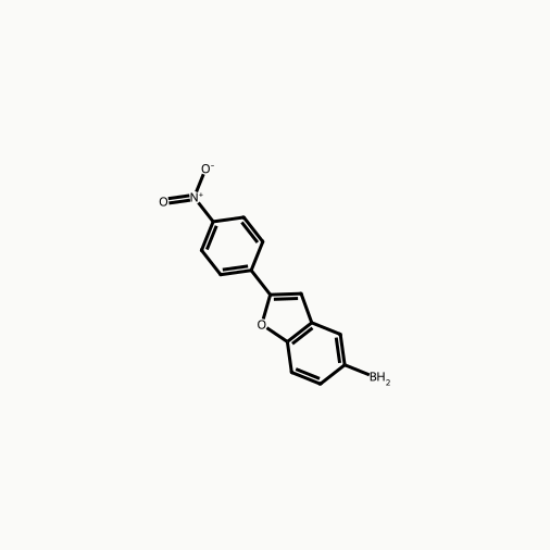 Bc1ccc2oc(-c3ccc([N+](=O)[O-])cc3)cc2c1